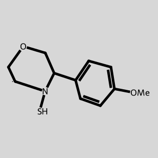 COc1ccc(C2COC[CH]N2S)cc1